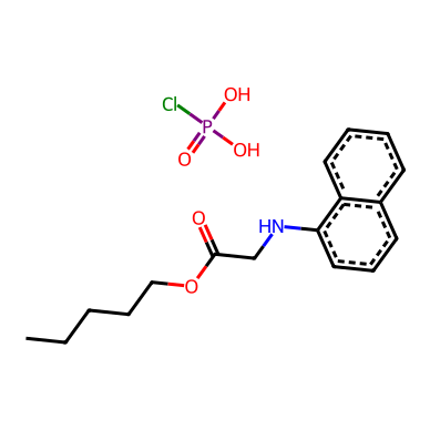 CCCCCOC(=O)CNc1cccc2ccccc12.O=P(O)(O)Cl